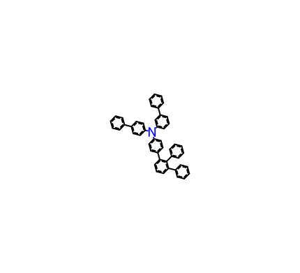 c1ccc(-c2ccc(N(c3ccc(-c4cccc(-c5ccccc5)c4-c4ccccc4)cc3)c3cccc(-c4ccccc4)c3)cc2)cc1